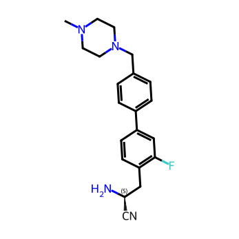 CN1CCN(Cc2ccc(-c3ccc(C[C@H](N)[14C]#N)c(F)c3)cc2)CC1